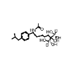 CC(=O)NC(CCCCC(O)(P(=O)(O)O)P(=O)(O)O)c1ccc(CC(C)C)cc1